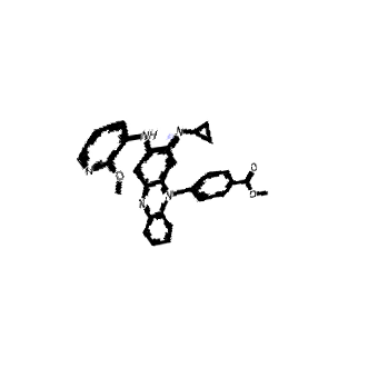 COC(=O)c1ccc(-n2c3c/c(=N\C4CC4)c(Nc4cccnc4OC)cc-3nc3ccccc32)cc1